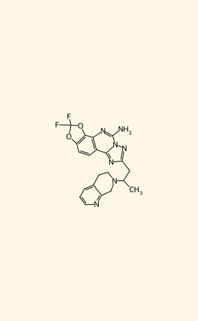 CC(Cc1nc2c3ccc4c(c3nc(N)n2n1)OC(F)(F)O4)N1CCc2cccnc2C1